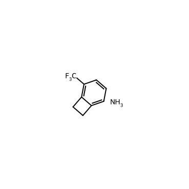 FC(F)(F)c1cccc2c1CC2.N